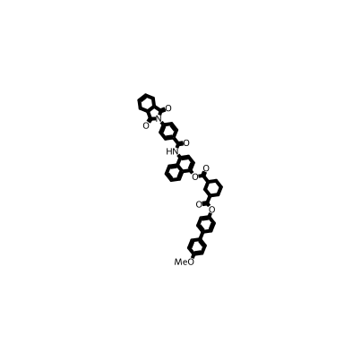 COc1ccc(-c2ccc(OC(=O)C3CCCC(C(=O)Oc4ccc(NC(=O)c5ccc(N6C(=O)C7CC=CCC7C6=O)cc5)c5ccccc45)C3)cc2)cc1